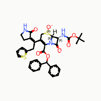 CC(C)(C)OC(=O)N[C@@H]1C(=O)N2C(C(=O)OC(c3ccccc3)c3ccccc3)=C(C(Cc3cccs3)=C3CCNC3=O)C[S@+]([O-])[C@H]12